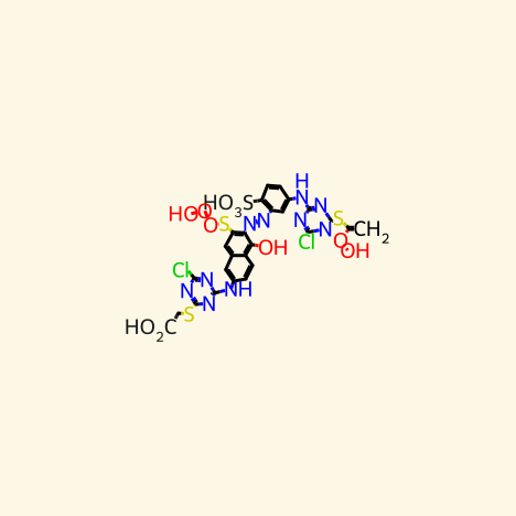 C=C(OO)Sc1nc(Cl)nc(Nc2ccc(S(=O)(=O)O)c(N=Nc3c(SOOO)cc4cc(Nc5nc(Cl)nc(SCC(=O)O)n5)ccc4c3O)c2)n1